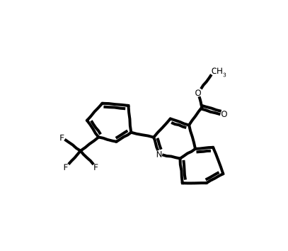 COC(=O)c1cc(-c2cccc(C(F)(F)F)c2)nc2ccccc12